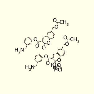 CC(=O)OCc1ccc2oc(=O)c(C(=O)Oc3cccc(CN)c3)cc2c1.CC(=O)OCc1ccc2oc(=O)c(C(=O)Oc3cccc(CN)c3)cc2c1.Cl.Cl.O